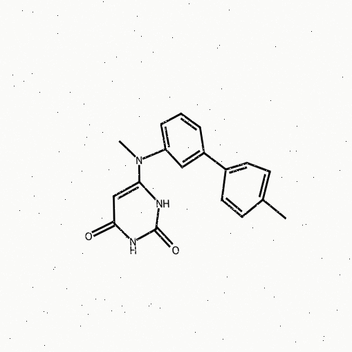 Cc1ccc(-c2cccc(N(C)c3cc(=O)[nH]c(=O)[nH]3)c2)cc1